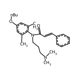 CCCCOc1cc(C)c(N(CCCN(C)C)C(=O)/C=C/c2ccccc2)c(C)c1